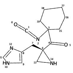 O=C=NC1(C(=O)[C@@]2(Cc3c[nH]cn3)CN2)CCCCC1